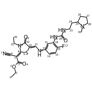 CCOC(=O)C(C#N)=c1sc(=CNc2ccc(F)c(NC(=O)NCCC3CCCN3C)c2)c(=O)n1CC